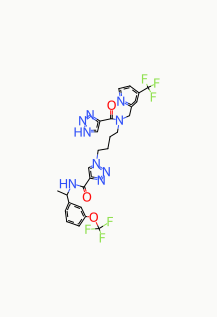 CC(NC(=O)c1cn(CCCCN(Cc2cc(C(F)(F)F)ccn2)C(=O)c2c[nH]nn2)nn1)c1cccc(OC(F)(F)F)c1